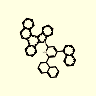 C1=CCC2C(=C1)C=CCC2C1=CC(c2cccc3ccccc23)=CC(n2c3ccccc3c3c4c5ccccc5ccc4c4ccccc4c32)N1